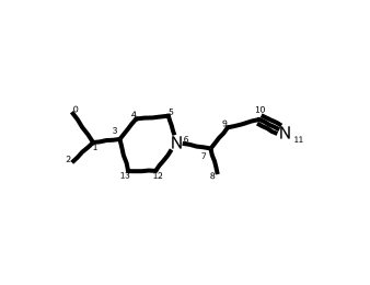 CC(C)C1CCN(C(C)CC#N)CC1